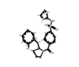 O=C(c1ccc(S(=O)(=O)Nc2nccs2)cc1)N1CCCC1Cc1ccccc1F